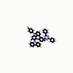 CC1=CCC(C)(c2nc(-c3ccccc3)nc(-c3ccccc3)n2)C=C1c1cccc2c1c1c(n2-c2ccc(C)cc2)CC(C)C(n2c3ccccc3c3ccccc32)=C1